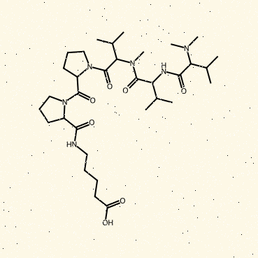 CC(C)C(NC(=O)C(C(C)C)N(C)C)C(=O)N(C)C(C(=O)N1CCCC1C(=O)N1CCCC1C(=O)NCCCCC(=O)O)C(C)C